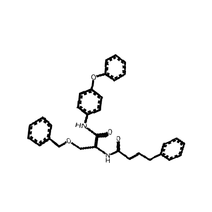 O=C(CCCc1ccccc1)NC(COCc1ccccc1)C(=O)Nc1ccc(Oc2ccccc2)cc1